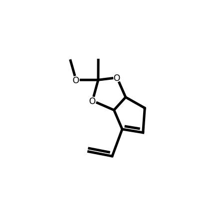 C=CC1=CCC2OC(C)(OC)OC12